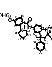 CC(=O)N1c2ccc(NC(=O)c3ccc(OC=O)cc3N3CCOCC3)cc2C(C)(c2ccccc2)CC1(C)C